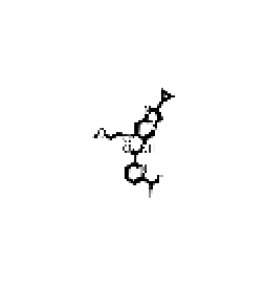 COCCOc1cc2nc(C3CC3)cn2cc1NC(=O)c1cccc(C(F)F)n1